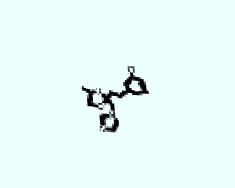 CC1COC(CCc2cccc(Cl)c2)(Cn2ccnc2)O1